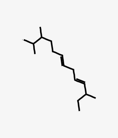 [CH2]C(C)C(C)CC/C=C/C/C=C/C(C)CC